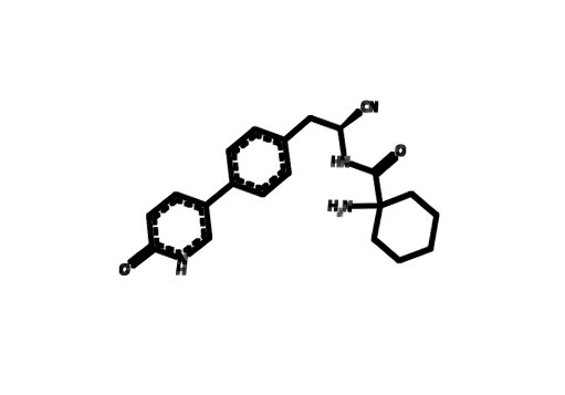 N#C[C@H](Cc1ccc(-c2ccc(=O)[nH]c2)cc1)NC(=O)C1(N)CCCCC1